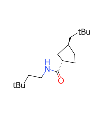 CC(C)(C)CCNC(=O)[C@H]1CC[C@H](CC(C)(C)C)C1